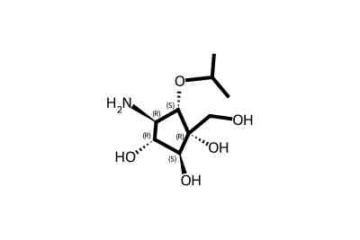 CC(C)O[C@H]1[C@H](N)[C@@H](O)[C@H](O)[C@]1(O)CO